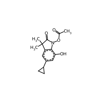 CC(=O)ON1C(=O)C(C)(C)c2cc(C3CC3)cc(O)c21